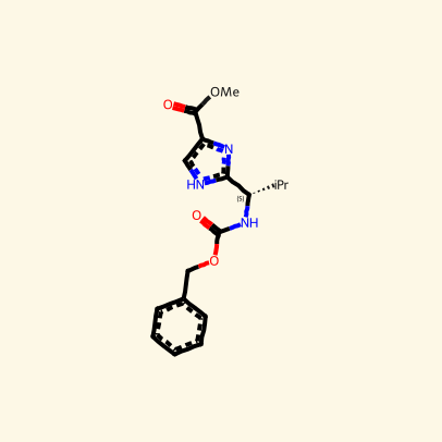 COC(=O)c1c[nH]c([C@@H](NC(=O)OCc2ccccc2)C(C)C)n1